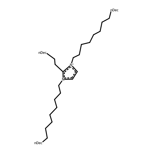 CCCCCCCCCCCCCCCCCCn1cc[n+](CCCCCCCCCCCCCCCCCC)c1CCCCCCCCCCCC